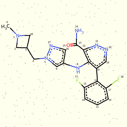 CN1CC(Cn2cc(Nc3c(-c4c(F)cccc4F)cnnc3C(N)=O)cn2)C1